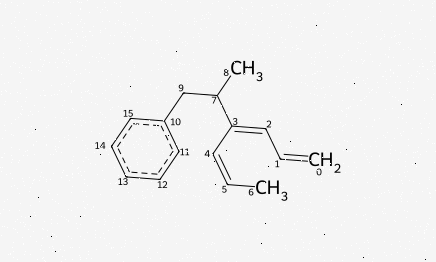 C=C/C=C(\C=C/C)C(C)Cc1ccccc1